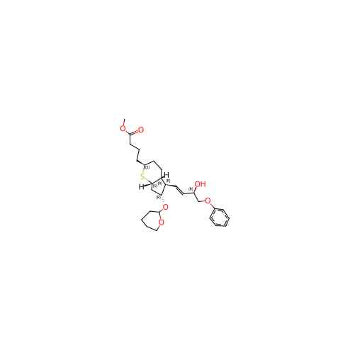 COC(=O)CCC[C@H]1CC[C@@H]2[C@@H](C=C[C@@H](O)COc3ccccc3)[C@H](OC3CCCCO3)C[C@@H]2S1